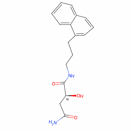 NC(=O)C[C@H](O)C(=O)NCCCc1cccc2ccccc12